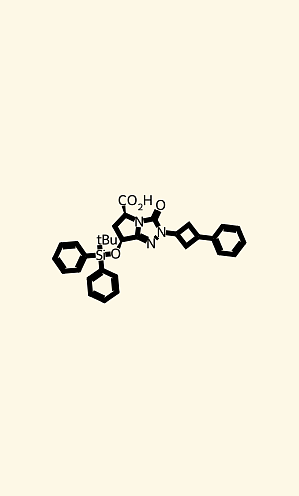 CC(C)(C)[Si](O[C@H]1C[C@@H](C(=O)O)n2c1nn(C1CC(c3ccccc3)C1)c2=O)(c1ccccc1)c1ccccc1